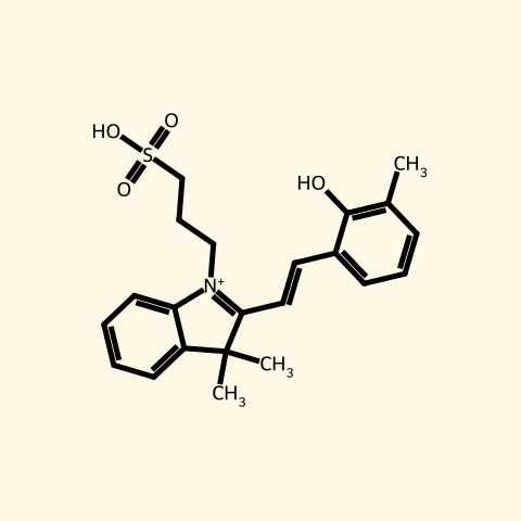 Cc1cccc(/C=C/C2=[N+](CCCS(=O)(=O)O)c3ccccc3C2(C)C)c1O